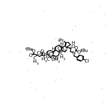 CC(C)C1=C2[C@H]3CC[C@@H]4[C@@]5(C)CC[C@H](OC(=O)CC(C)(C)C(=O)OC(C)(C)C)C(C)(C)C5(S)CC[C@@]4(C)[C@]3(C)CC[C@@]2([C@H](O)CN(Cc2ccc(Cl)cc2)C(=O)OC(C)(C)C)CC1